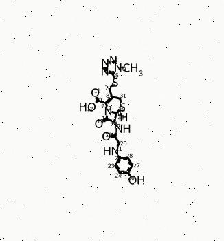 Cn1nnnc1SCC1=C(C(=O)O)N2C(=O)[C@@H](NC(=O)CNc3ccc(O)cc3)[C@@H]2SC1